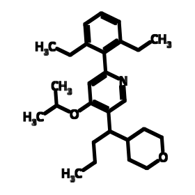 CCCC(c1cnc(-c2c(CC)cccc2CC)cc1OC(C)C)C1CCOCC1